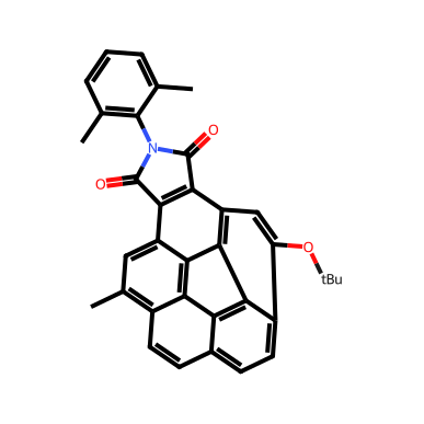 Cc1cccc(C)c1-n1c(=O)c2c3cc(C)c4ccc5ccc6c(OC(C)(C)C)cc(c2c1=O)c1c6c5c4c31